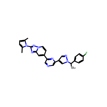 Cc1ccc(C)n1-c1nc2cc(-c3cncc(-c4cnn(C(c5ccc(F)cc5)C(C)(C)C)c4)n3)ccn2n1